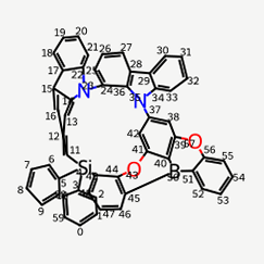 c1ccc([Si]2(c3ccccc3)c3ccc4c(c3)c3ccccc3n4-c3cccc4c5ccccc5n(c34)-c3cc4c5c(c3)Oc3c(cccc32)B5c2ccccc2O4)cc1